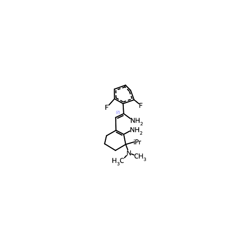 CC(C)C1(N(C)C)CCCC(/C=C(\N)c2c(F)cccc2F)=C1N